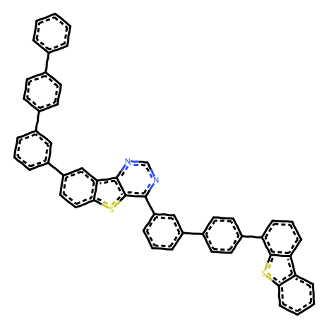 c1ccc(-c2ccc(-c3cccc(-c4ccc5sc6c(-c7cccc(-c8ccc(-c9cccc%10c9sc9ccccc9%10)cc8)c7)ncnc6c5c4)c3)cc2)cc1